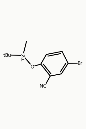 C[SiH](Oc1ccc(Br)cc1C#N)C(C)(C)C